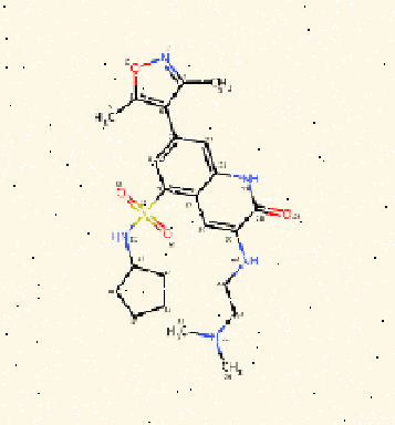 Cc1noc(C)c1-c1cc(S(=O)(=O)NC2CCCC2)c2cc(NCCN(C)C)c(=O)[nH]c2c1